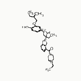 CCC(C)COc1cc(CCC(CC)(C(C)I)N2Cc3cccc(C(=O)N4CCN(CC)CC4)c3C2)ccc1O